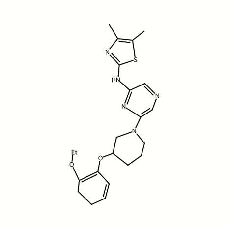 CCOC1=C(OC2CCCN(c3cncc(Nc4nc(C)c(C)s4)n3)C2)C=CCC1